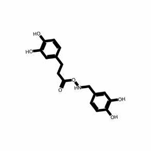 O=C(CCc1ccc(O)c(O)c1)ONCc1ccc(O)c(O)c1